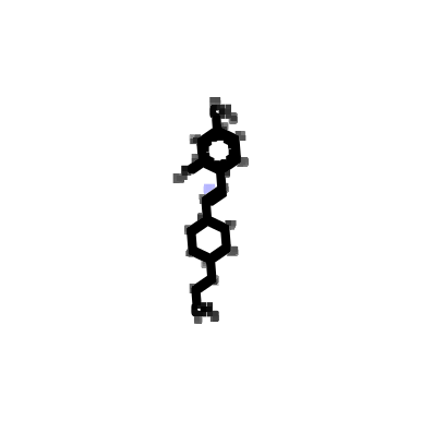 CCCC1CCC(/C=C/c2ccc(C)cc2F)CC1